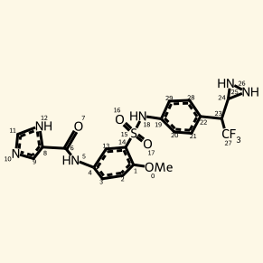 COc1ccc(NC(=O)c2cnc[nH]2)cc1S(=O)(=O)Nc1ccc(C(C2NN2)C(F)(F)F)cc1